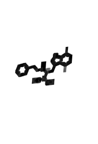 Cc1ccc(C)c2c(C[C@H](NCCc3ccccc3)B(O)O)coc12